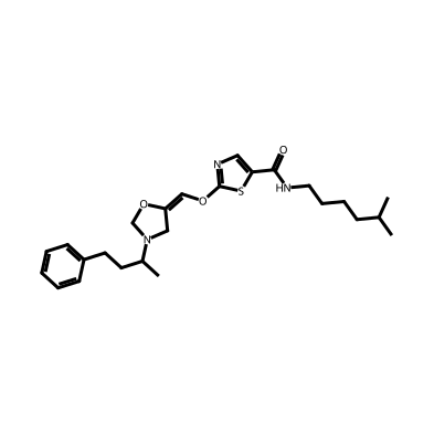 CC(C)CCCCNC(=O)c1cnc(OC=C2CN(C(C)CCc3ccccc3)CO2)s1